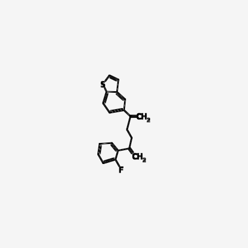 C=C(CCC(=C)c1ccccc1F)c1ccc2sccc2c1